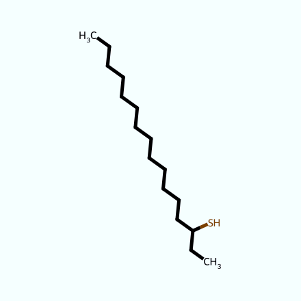 CCCCCCCCCCCCCC(S)CC